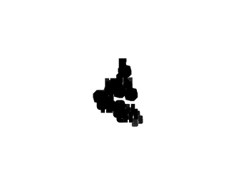 CC(C)(C)OC(=O)NCCCN1C(=O)CCC[C@@H]1CNC(=O)c1ccc(-c2ccccc2C#N)nc1NCCc1cccc(F)c1